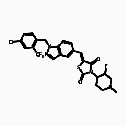 CN1CCC(N2C(=O)SC(=Cc3ccc4c(cnn4Cc4ccc(Cl)cc4C(F)(F)F)c3)C2=O)C(F)C1